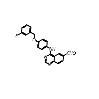 O=Cc1ccc2ncnc(Nc3ccc(OCc4cccc(F)c4)cc3)c2c1